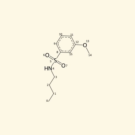 CCCCNS(=O)(=O)c1cccc(OC)c1